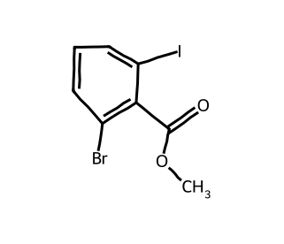 COC(=O)c1c(Br)cccc1I